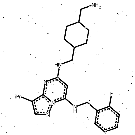 CC(C)c1cnn2c(NCc3ccccc3F)cc(NCC3CCC(CN)CC3)nc12